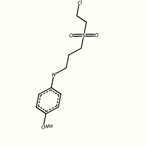 COc1ccc([N]CCCS(=O)(=O)CCCl)cc1